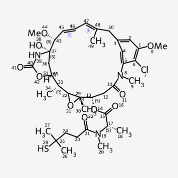 COc1cc2cc(c1Cl)N(C)C(=O)C[C@H](OC(=O)[C@H](C)N(C)C(=O)CCC(C)(C)S)[C@]1(C)OC1[C@H](C)[C@@H]1C[C@@](O)(NC(=O)O1)[C@H](OC)/C=C/C=C(\C)C2